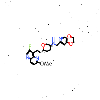 COc1ccc2ncc(F)c(CC[C@H]3CC[C@@H](NCc4cc5c(cn4)OCCO5)CO3)c2n1